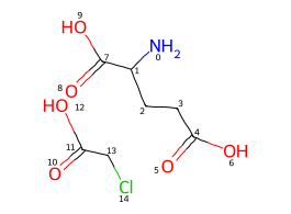 NC(CCC(=O)O)C(=O)O.O=C(O)CCl